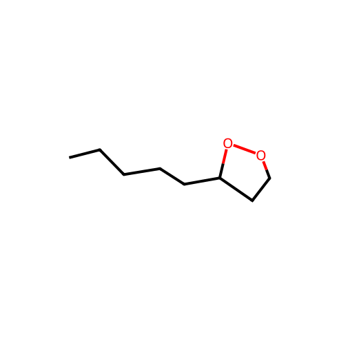 CCCCCC1CCOO1